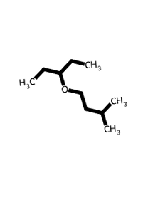 CCC(CC)OCCC(C)C